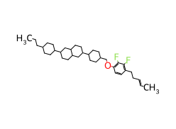 C/C=C/CCc1ccc(OCC2CCC(C3CCC4CC(C5CCC(CCC)CC5)CCC4C3)CC2)c(F)c1F